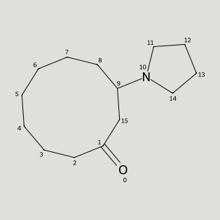 O=C1CCCCCCCC(N2CCCC2)C1